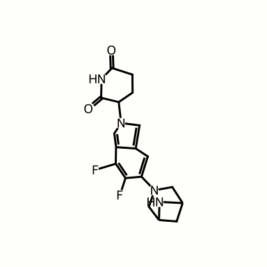 O=C1CCC(n2cc3cc(N4CC5CC(C4)N5)c(F)c(F)c3c2)C(=O)N1